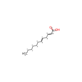 CCCCCCC=CC/C=C/C(=O)O